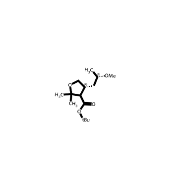 CO[C@@H](C)C[C@H]1COC(C)(C)C1C(=O)OC(C)(C)C